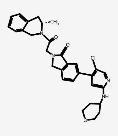 C[C@H]1Cc2ccccc2CN1C(=O)CN1Cc2ccc(-c3cc(NC4CCOCC4)ncc3Cl)cc2C1=O